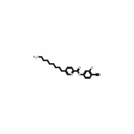 CCCCCCCCCc1ccc(C(=O)Oc2ccc(C#N)c(Cl)c2)nc1